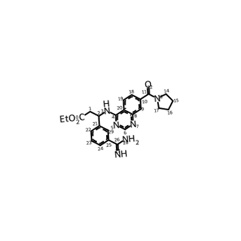 CCOC(=O)CC(Nc1ncnc2cc(C(=O)N3CCCC3)ccc12)c1cccc(C(=N)N)c1